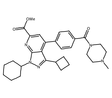 COC(=O)c1cc(-c2ccc(C(=O)N3CCN(C)CC3)cc2)c2c(C3CCC3)nn(C3CCCCC3)c2n1